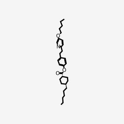 CCCCCC[C@H]1CC[C@H](C(=O)Oc2ccc(CCc3ccc(OCCCCC)cn3)cc2)CC1